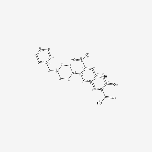 O=C(O)c1nc2cc(N3CCN(Cc4ccccc4)CC3)c([N+](=O)[O-])cc2[nH]c1=O